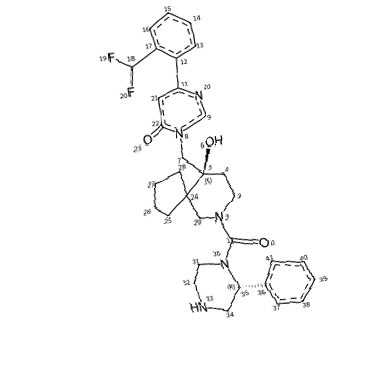 O=C(N1CC[C@@](O)(Cn2cnc(-c3ccccc3C(F)F)cc2=O)C2(CCCC2)C1)N1CCNC[C@H]1c1ccccc1